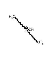 CCCCCCCCCCCCCC(=O)O[C@H](CCCCCCCCCCCC)C(=O)O